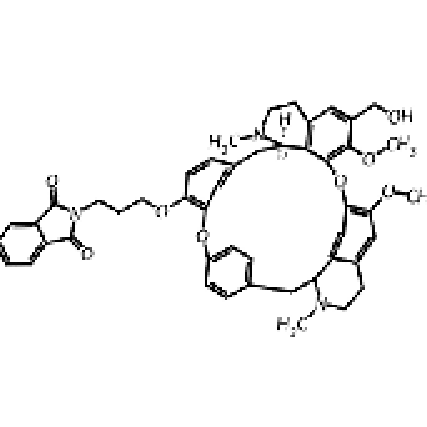 COc1cc2c3cc1Oc1c(OC)c(CO)cc4c1[C@@H](Cc1ccc(OCCCN5C(=O)c6ccccc6C5=O)c(c1)Oc1ccc(cc1)CC3N(C)CC2)N(C)CC4